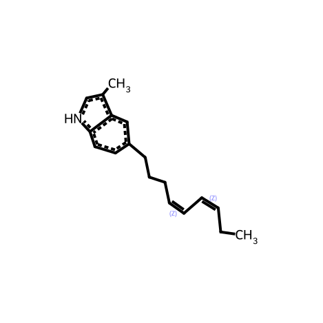 CC/C=C\C=C/CCCc1ccc2[nH]cc(C)c2c1